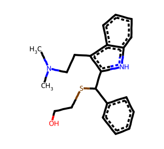 CN(C)CCc1c(C(SCCO)c2ccccc2)[nH]c2ccccc12